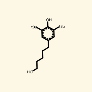 CC(C)(C)c1cc(CCCCCO)cc(C(C)(C)C)c1O